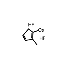 CC1=[C]([Os])CC=C1.F.F